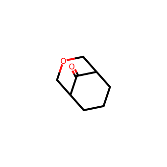 O=C1C2CCCC1COC2